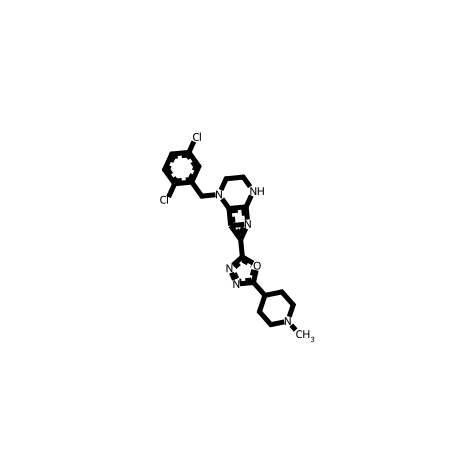 CN1CCC(c2nnc(-c3c4c5c(n3-4)NCCN5Cc3cc(Cl)ccc3Cl)o2)CC1